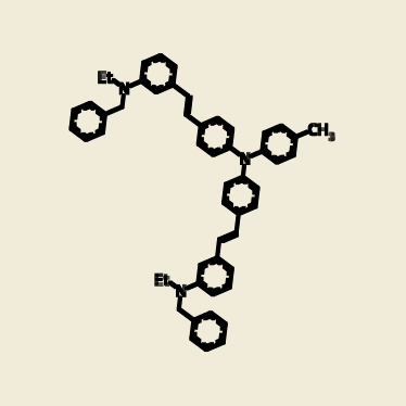 CCN(Cc1ccccc1)c1cccc(C=Cc2ccc(N(c3ccc(C)cc3)c3ccc(C=Cc4cccc(N(CC)Cc5ccccc5)c4)cc3)cc2)c1